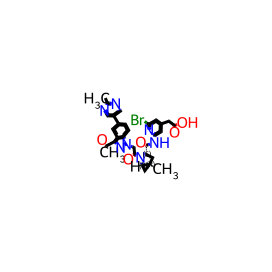 CC(=O)c1nn(CC(=O)N2[C@H](C(=O)Nc3cc(CC(=O)O)cc(Br)n3)C[C@@]3(C)C[C@@H]23)c2ccc(-c3cnc(C)nc3)cc12